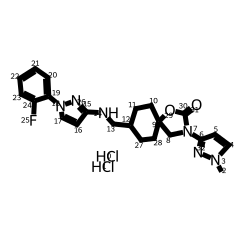 Cl.Cl.Cn1ccc(N2CC3(CCC(CNc4ccn(-c5ccccc5F)n4)CC3)OC2=O)n1